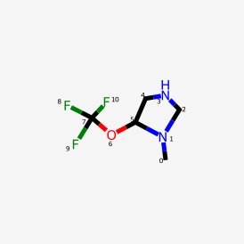 CN1[CH]NCC1OC(F)(F)F